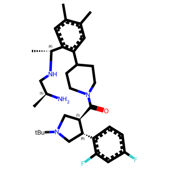 Cc1cc(C2CCN(C(=O)[C@@H]3CN(C(C)(C)C)C[C@H]3c3ccc(F)cc3F)CC2)c([C@@H](C)NC[C@H](C)N)cc1C